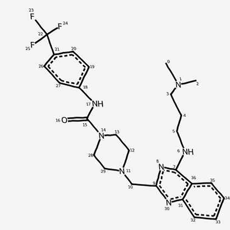 CN(C)CCCNc1nc(CN2CCN(C(=O)Nc3ccc(C(F)(F)F)cc3)CC2)nc2ccccc12